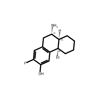 CC[C@@]12CCCC[C@@H]1[C@@H](N)Cc1cc(F)c(O)cc12